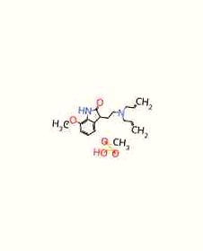 C=CCN(CC=C)CCC1C(=O)Nc2c(OC)cccc21.CS(=O)(=O)O